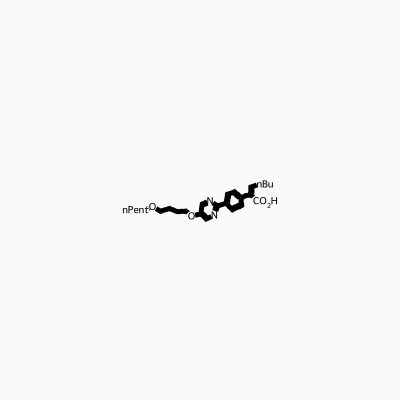 CCCCC=C(C(=O)O)c1ccc(-c2ncc(OCCCCOCCCCC)cn2)cc1